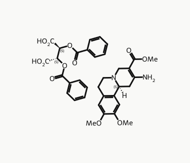 COC(=O)C1=C(N)C[C@H]2c3cc(OC)c(OC)cc3CCN2C1.O=C(O[C@H](C(=O)O)[C@H](OC(=O)c1ccccc1)C(=O)O)c1ccccc1